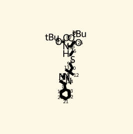 CC(C)(C)OC(=O)N[C@@H](CCSCCC(C)(C)n1ncc(-c2ccccc2)n1)C(=O)OC(C)(C)C